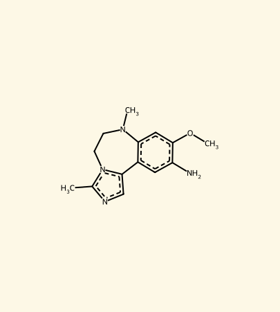 COc1cc2c(cc1N)-c1cnc(C)n1CCN2C